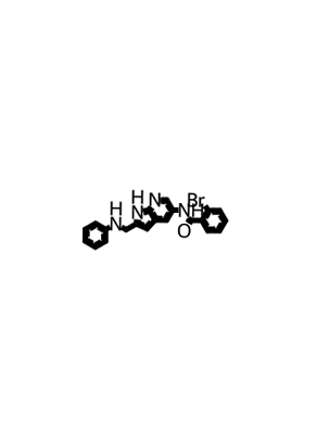 O=C(Nc1cnc2[nH]c(CNc3ccccc3)cc2c1)c1ccccc1Br